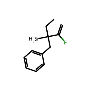 C=C(F)C([SiH3])(CC)Cc1ccccc1